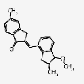 COC1c2cccc(/C=C3\Cc4cc(C)ccc4C3=O)c2CC1C